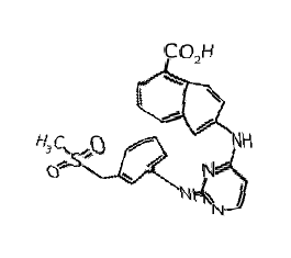 CS(=O)(=O)Cc1cccc(Nc2nccc(Nc3ccc4c(C(=O)O)cccc4c3)n2)c1